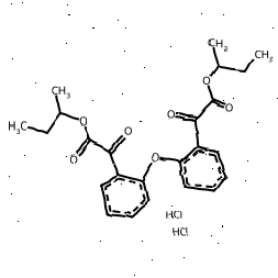 CCC(C)OC(=O)C(=O)c1ccccc1Oc1ccccc1C(=O)C(=O)OC(C)CC.Cl.Cl